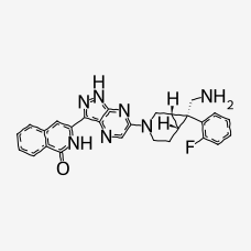 NC[C@]1(c2ccccc2F)[C@@H]2CCN(c3cnc4c(-c5cc6ccccc6c(=O)[nH]5)n[nH]c4n3)C[C@@H]21